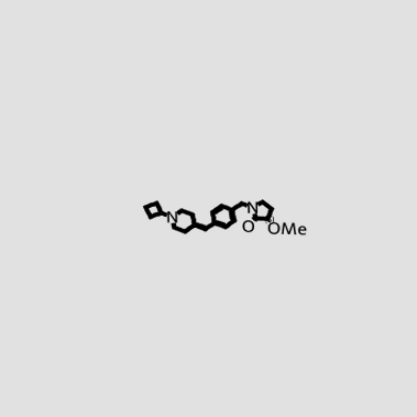 CO[C@H]1CCN(Cc2ccc(C=C3CCN(C4CCC4)CC3)cc2)C1=O